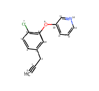 C#CCc1ccc(Cl)c(Oc2cccnc2)c1